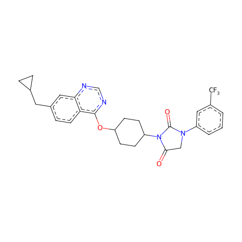 O=C1CN(c2cccc(C(F)(F)F)c2)C(=O)N1C1CCC(Oc2ncnc3cc(CC4CC4)ccc23)CC1